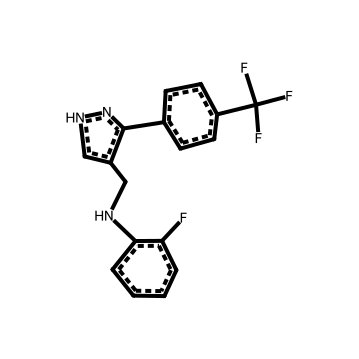 Fc1ccccc1NCc1c[nH]nc1-c1ccc(C(F)(F)F)cc1